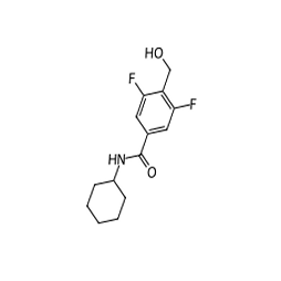 O=C(NC1CCCCC1)c1cc(F)c(CO)c(F)c1